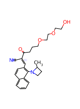 CC1CCN1c1c(/C=C(\C#N)C(=O)CCCOCCOCCO)ccc2ccccc12